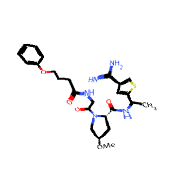 CO[C@@H]1C[C@@H](C(=O)NC(C)c2cc(C(=N)N)cs2)N(C(=O)CNC(=O)CCCOc2ccccc2)C1